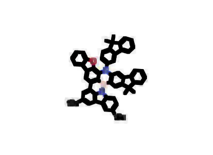 CC(C)(C)c1ccc2c(c1)c1cc(C(C)(C)C)cc3c1n2B1c2cc4c(cc2N(c2ccc5c(c2)-c2ccccc2C5(C)C)c2c1c-3cc1c2oc2ccccc21)-c1ccccc1C4(C)C